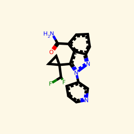 NC(=O)c1cccc2nn(-c3cccnc3)c(C3(C(F)F)CC3)c12